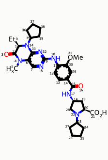 CC[C@@H]1C(=O)N(C)c2cnc(Nc3ccc(C(=O)N[C@H]4C[C@@H](C(=O)O)N(C5CCCC5)C4)cc3OC)nc2N1C1CCCC1